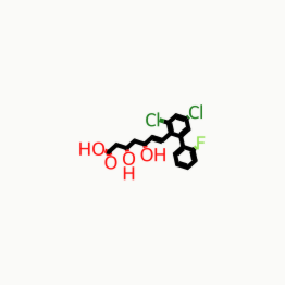 O=C(O)CC(O)CC(O)/C=C/c1c(Cl)cc(Cl)cc1-c1ccccc1F